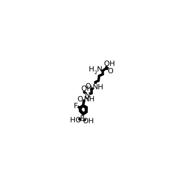 N[C@@H](CCCCNC(=O)CN(CO)NC(=O)c1ccc(B(O)O)cc1F)C(=O)O